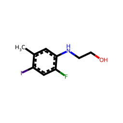 Cc1cc(NCCO)c(F)cc1I